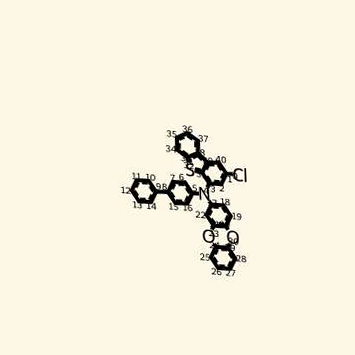 Clc1cc(N(c2ccc(-c3ccccc3)cc2)c2ccc3c(c2)Oc2ccccc2O3)c2sc3ccccc3c2c1